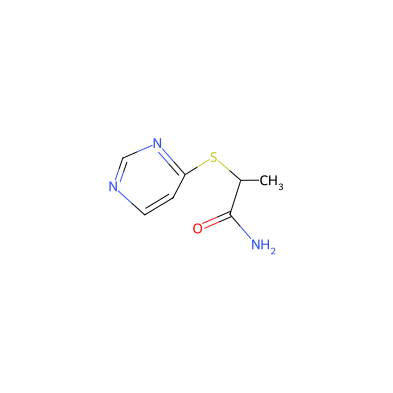 CC(Sc1ccncn1)C(N)=O